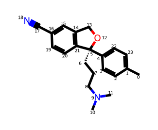 Cc1ccc([C@]2(CCCN(C)C)OCc3cc(C#N)ccc32)cc1